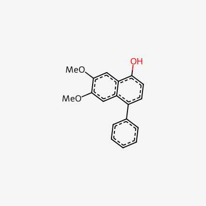 COc1cc2c(O)ccc(-c3ccccc3)c2cc1OC